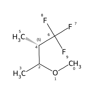 COC(C)[C@H](C)C(F)(F)F